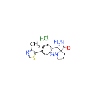 Cc1ncsc1-c1ccc(CC2(C(N)=O)CCCN2)cc1.Cl